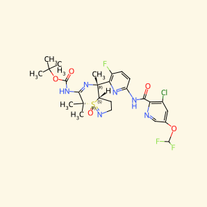 CC(C)(C)OC(=O)NC1=N[C@](C)(c2nc(NC(=O)c3ncc(OC(F)F)cc3Cl)ccc2F)[C@@H]2CCN=[S@]2(=O)C1(C)C